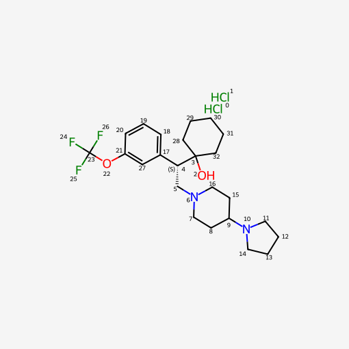 Cl.Cl.OC1([C@H](CN2CCC(N3CCCC3)CC2)c2cccc(OC(F)(F)F)c2)CCCCC1